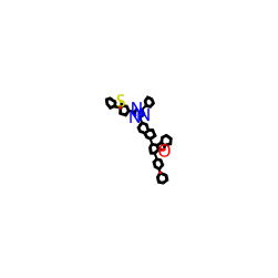 c1ccc(-c2ccc(-c3ccc(-c4ccc5cc(-c6nc(-c7ccccc7)nc(-c7ccc8c(c7)sc7ccccc78)n6)ccc5c4)c4c3oc3ccccc34)cc2)cc1